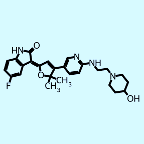 CC1(C)O/C(=C2/C(=O)Nc3ccc(F)cc32)C=C1c1ccc(NCCN2CCC(O)CC2)nc1